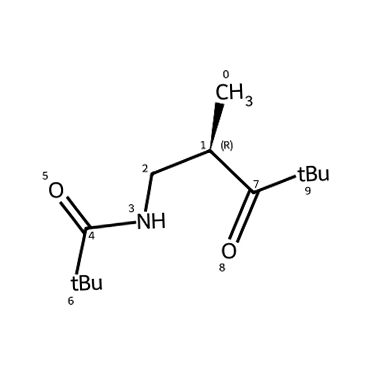 C[C@H](CNC(=O)C(C)(C)C)C(=O)C(C)(C)C